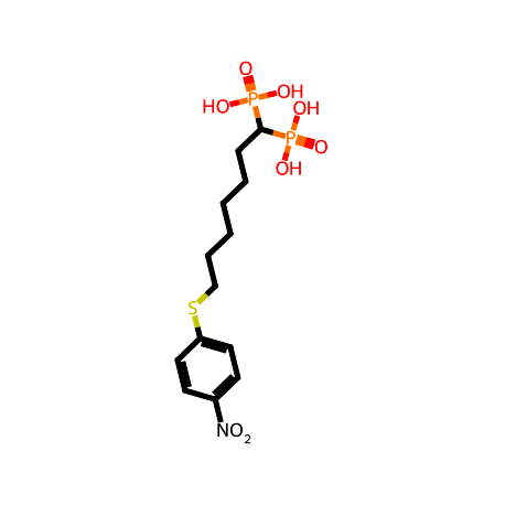 O=[N+]([O-])c1ccc(SCCCCCCC(P(=O)(O)O)P(=O)(O)O)cc1